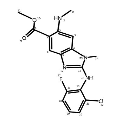 CNc1cc2c(cc1C(=O)OC)nc(Nc1c(F)cccc1Cl)n2C